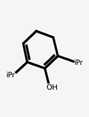 CC(C)C1=CCCC(C(C)C)=C1O